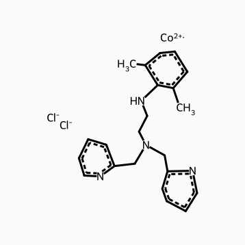 Cc1cccc(C)c1NCCN(Cc1ccccn1)Cc1ccccn1.[Cl-].[Cl-].[Co+2]